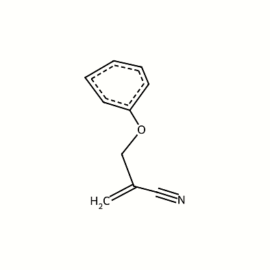 C=C(C#N)COc1ccccc1